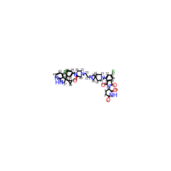 O=C1CCC(N2C(=O)c3cc(F)cc(N4CCC5(CC4)CN(CCN4CCN(c6cccc(C7(C8CC8)CNc8nccc(Cl)c87)c6)C(=O)C4)C5)c3C2=O)C(=O)N1